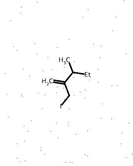 C=C(CI)C(C)CC